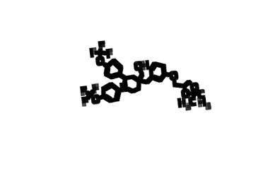 CC1(C)OCC(COc2cccc(CC3(CO)CCN(c4ccc(OC(F)(F)F)cc4)C(c4ccc(OC(F)(F)F)cc4)C3)c2)O1